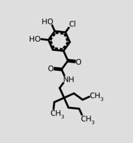 CCCC(CC)(CCC)CNC(=O)C(=O)c1cc(O)c(O)c(Cl)c1